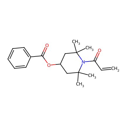 C=CC(=O)N1C(C)(C)CC(OC(=O)c2ccccc2)CC1(C)C